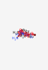 C[C@H]1CCN(C(=O)OC(C)(C)C)N(C(=O)CCCCNC(=O)OCc2ccccc2)c2cc(C(F)(F)F)cc(NC(=O)c3cc(C(=O)N4c5cc(C(F)(F)F)cc(NC(=O)CCCCN)c5O[C@@H](C)CCN4C(=O)OC(C)(C)C)ncn3)c2O1